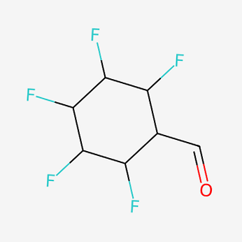 O=CC1C(F)C(F)C(F)C(F)C1F